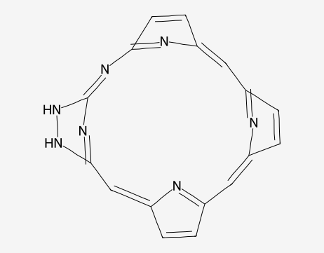 C1=CC2=NC1=CC1=NC(=NC3=NC(=CC4=NC(=C2)C=C4)C=C3)NN1